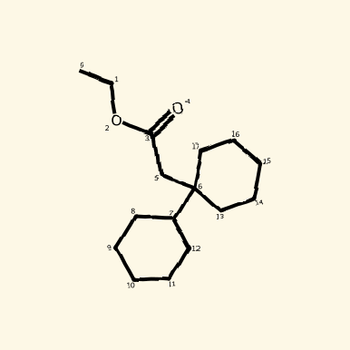 CCOC(=O)CC1(C2CCCCC2)CCCCC1